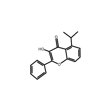 CC(C)c1cccc2oc(-c3ccccc3)c(O)c(=O)c12